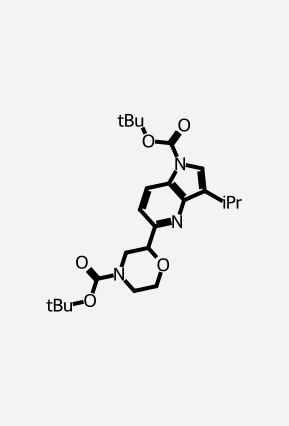 CC(C)c1cn(C(=O)OC(C)(C)C)c2ccc(C3CN(C(=O)OC(C)(C)C)CCO3)nc12